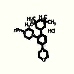 CCCN1CCN(c2cc(N3CCOCC3)ccc2C2CC(C)(C)CC(C)(C)C2)CC1.Cl